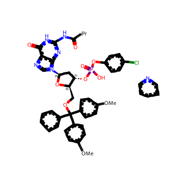 COc1ccc(C(OC[C@H]2O[C@@H](n3cnc4c(=O)[nH]c(NC(=O)C(C)C)nc43)C[C@@H]2OP(=O)(O)Oc2ccc(Cl)cc2)(c2ccccc2)c2ccc(OC)cc2)cc1.c1ccncc1